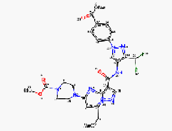 COCc1cc(N2CCN(C(=O)OC(C)(C)C)CC2)nc2c(C(=O)Nc3cn(-c4ccc(C(=O)OC)cc4)nc3C(F)F)cnn12